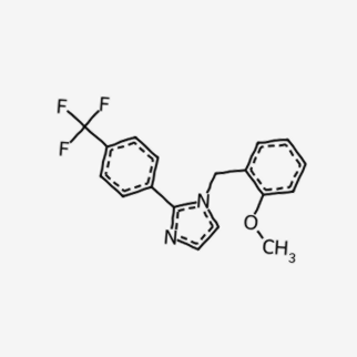 COc1ccccc1Cn1ccnc1-c1ccc(C(F)(F)F)cc1